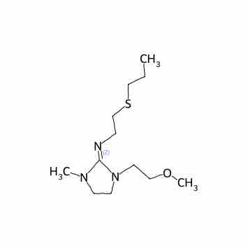 CCCSCC/N=C1/N(C)CCN1CCOC